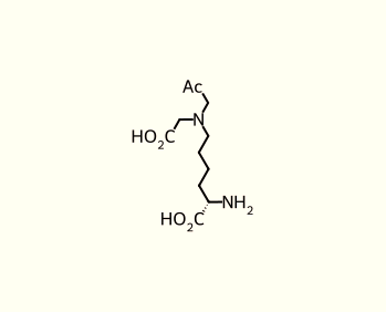 CC(=O)CN(CCCC[C@H](N)C(=O)O)CC(=O)O